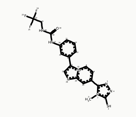 Cn1c(S)nnc1-c1ccn2c(-c3cccc(NC(=O)NCC(F)(F)F)c3)cnc2c1